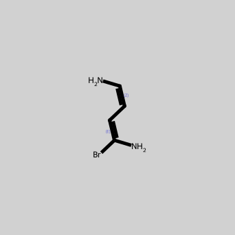 N/C=C\C=C(/N)Br